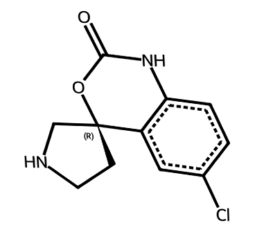 O=C1Nc2ccc(Cl)cc2[C@@]2(CCNC2)O1